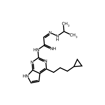 CC(C)N/N=C\C(=N)Nc1nc(CCCC2CC2)c2cc[nH]c2n1